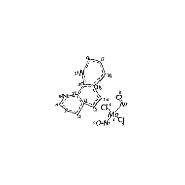 O=[N][Mo]([Cl])([Cl])[N]=O.c1cnc2c(c1)ccc1cccnc12